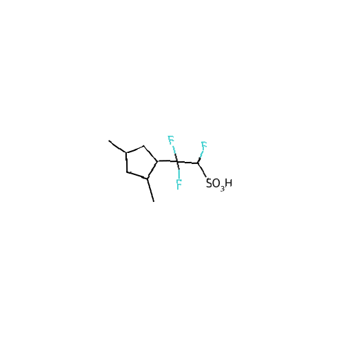 CC1CC(C)C(C(F)(F)C(F)S(=O)(=O)O)C1